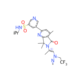 C=NN(/C=C(\C)N1C(=O)c2c(C)cc(-c3cncc(S(=O)(=O)NC(C)C)c3)nc2C1(C)C)CC(F)(F)F